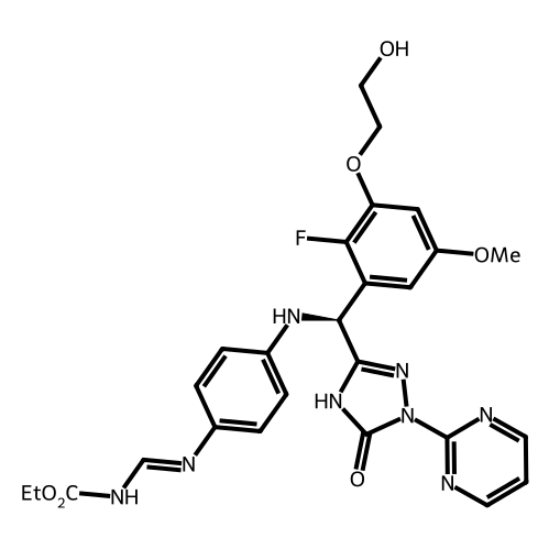 CCOC(=O)N/C=N/c1ccc(N[C@H](c2nn(-c3ncccn3)c(=O)[nH]2)c2cc(OC)cc(OCCO)c2F)cc1